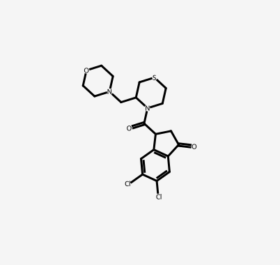 O=C1CC(C(=O)N2CCSCC2CN2CCOCC2)c2cc(Cl)c(Cl)cc21